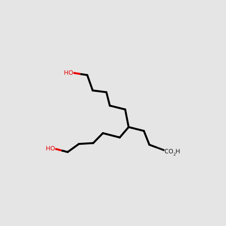 O=C(O)CCC(CCCCCO)CCCCCO